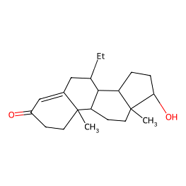 CCC1CC2=CC(=O)CCC2(C)C2CCC3(C)C(O)CCC3C12